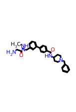 CNN(Cc1cccc(-c2ccc(C(=O)NC3CCN(Cc4ccccc4)CC3)cc2)c1)C(=O)CN